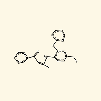 C/C(=C/C(=O)c1ccccc1)Nc1ccc(CI)cc1Sc1ccccc1